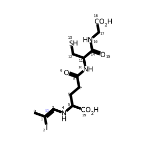 C/C(I)=C/NC(CCC(=O)NC(CS)C(=O)NCC(=O)O)C(=O)O